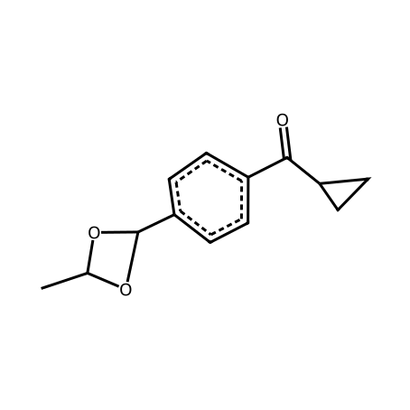 CC1OC(c2ccc(C(=O)C3CC3)cc2)O1